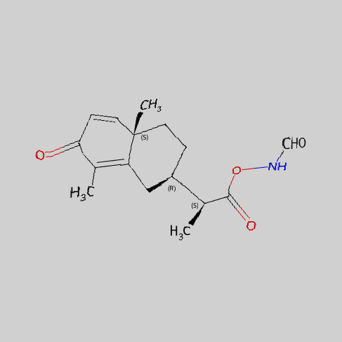 CC1=C2C[C@H]([C@H](C)C(=O)ONC=O)CC[C@@]2(C)C=CC1=O